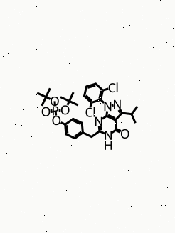 CC(C)c1nn(-c2c(Cl)cccc2Cl)c2nc(Cc3ccc(OP(=O)(OC(C)(C)C)OC(C)(C)C)cc3)[nH]c(=O)c12